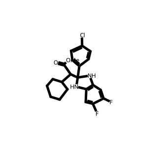 COC(=O)C(C1CCCCC1)C1(c2ccc(Cl)cc2)Nc2cc(F)c(F)cc2N1